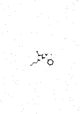 CCCCc1nc(C#N)c2nc(SC)n(-c3ccccc3)c2n1